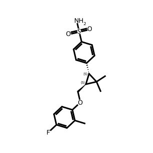 Cc1cc(F)ccc1OC[C@H]1[C@H](c2ccc(S(N)(=O)=O)cc2)C1(C)C